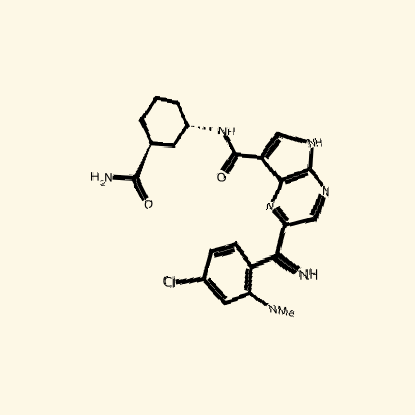 CNc1cc(Cl)ccc1C(=N)c1cnc2[nH]cc(C(=O)N[C@H]3CCC[C@H](C(N)=O)C3)c2n1